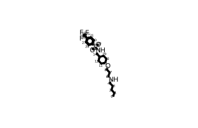 CCCCCNCCCOC1CCC(CNS(=O)(=O)c2ccc(C(F)(F)F)cc2)CC1